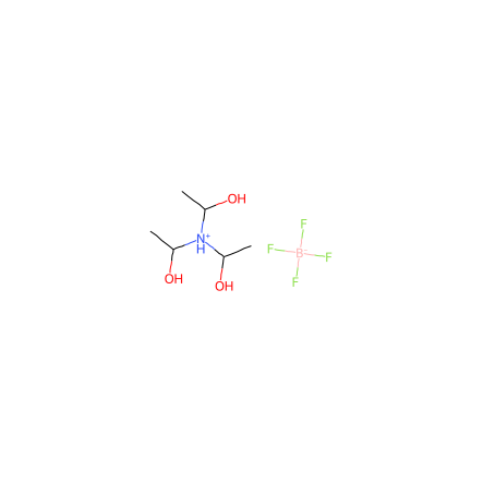 CC(O)[NH+](C(C)O)C(C)O.F[B-](F)(F)F